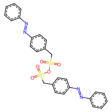 O=S(=O)(Cc1ccc(N=Nc2ccccc2)cc1)OS(=O)(=O)Cc1ccc(N=Nc2ccccc2)cc1